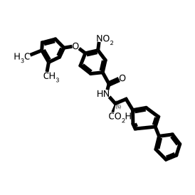 Cc1ccc(Oc2ccc(C(=O)N[C@@H](Cc3ccc(-c4ccccc4)cc3)C(=O)O)cc2[N+](=O)[O-])cc1C